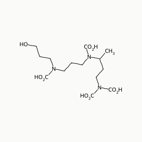 CC(CCN(C(=O)O)C(=O)O)N(CCCN(CCCO)C(=O)O)C(=O)O